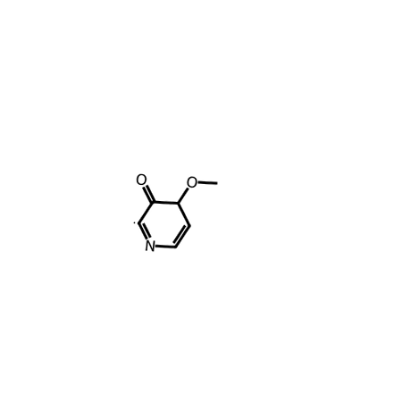 COC1C=CN=[C]C1=O